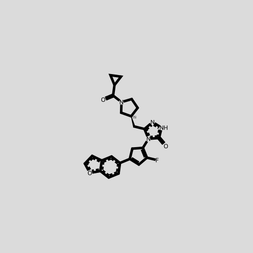 O=C(C1CC1)N1CC[C@@H](Cc2n[nH]c(=O)n2C2=C(F)C=C(c3ccc4occc4c3)C2)C1